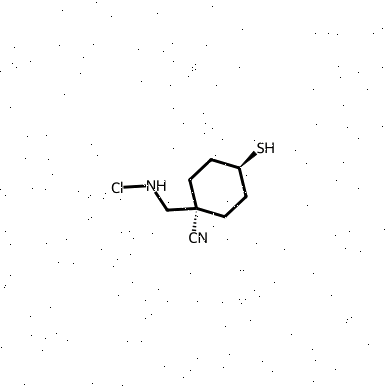 N#C[C@]1(CNCl)CC[C@@H](S)CC1